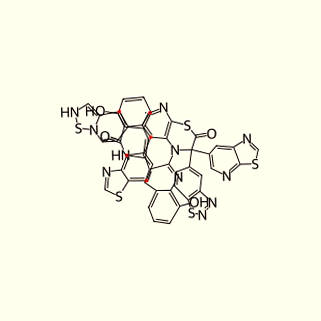 O=C1Sc2n[c]c(C3=CC4=CNSN4C=C3)c(-c3ccc4scnc4c3)c2N(c2nc3c(O)cccc3cc2-c2cc3cccc(O)c3c(=O)[nH]2)C1(c1ccc2snnc2c1)c1cnc2scnc2c1